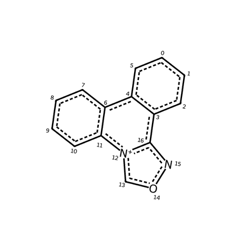 c1ccc2c(c1)c1ccccc1[n+]1conc21